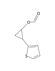 O=COC1CC1c1cccs1